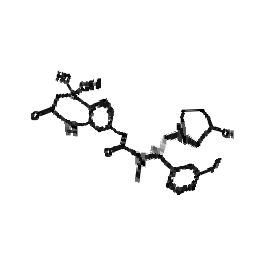 CN(C(=O)Cc1ccc2c(c1)NC(=O)CS2(O)O)[C@H](CN1CCC(O)C1)c1cccc(F)c1